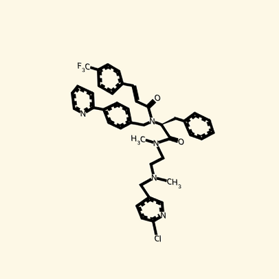 CN(CCN(C)C(=O)[C@H](Cc1ccccc1)N(Cc1ccc(-c2ccccn2)cc1)C(=O)/C=C/c1ccc(C(F)(F)F)cc1)Cc1ccc(Cl)nc1